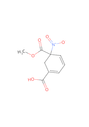 COC(=O)C1([N+](=O)[O-])C=CC=C(C(=O)O)C1